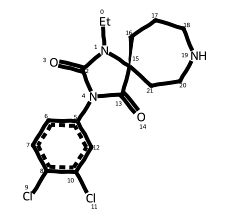 CCN1C(=O)N(c2ccc(Cl)c(Cl)c2)C(=O)[C@]12CCCNCC2